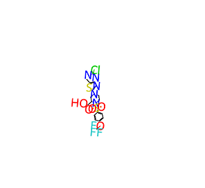 O=C(O)C1CN(c2nc3nc(Cl)ncc3s2)CCN1S(=O)(=O)c1ccc(OC(F)(F)F)cc1